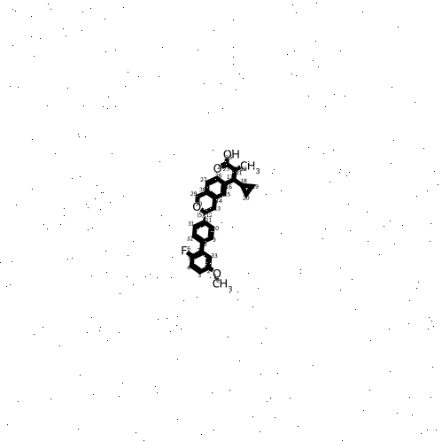 COc1ccc(F)c(-c2ccc([C@@H]3Cc4cc(C(C5CC5)C(C)C(=O)O)ccc4CO3)cc2)c1